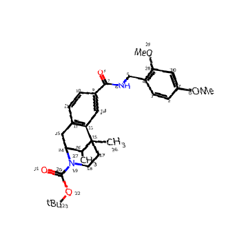 COc1ccc(CNC(=O)c2ccc3c(c2)C2(C)CCN(C(=O)OC(C)(C)C)C(C3)C2C)c(OC)c1